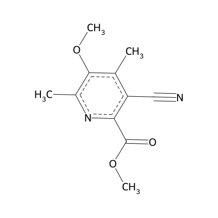 COC(=O)c1nc(C)c(OC)c(C)c1C#N